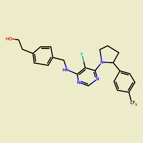 OCCc1ccc(CNc2ncnc(N3CCCC3c3ccc(C(F)(F)F)cc3)c2F)cc1